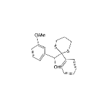 COc1cccc(C(O)C2(c3ccccc3)SCCCS2)c1